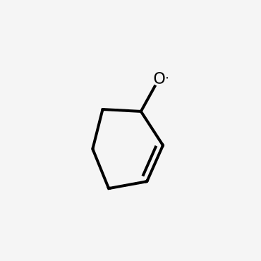 [O]C1C=CCCC1